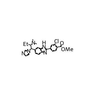 CCC(C(c1ccc2nc(-c3ccc(C(=O)OC)c(Cl)c3)[nH]c2c1)n1ccnc1)N(C)C